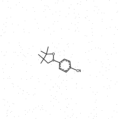 CC1(C)CB(c2ccc(C#N)cc2)OC1(C)C